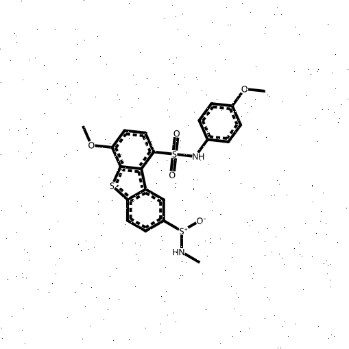 CN[S+]([O-])c1ccc2sc3c(OC)ccc(S(=O)(=O)Nc4ccc(OC)cc4)c3c2c1